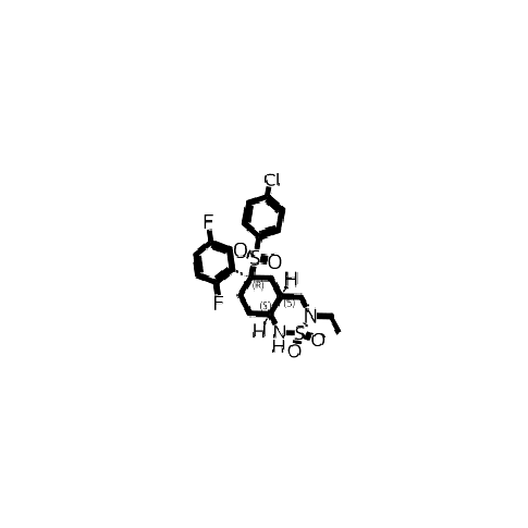 CCN1C[C@@H]2C[C@](c3cc(F)ccc3F)(S(=O)(=O)c3ccc(Cl)cc3)CC[C@@H]2NS1(=O)=O